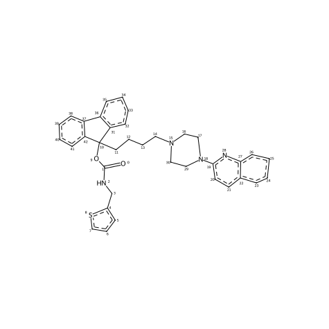 O=C(NCc1cccs1)OC1(CCCCN2CCN(c3ccc4ccccc4n3)CC2)c2ccccc2-c2ccccc21